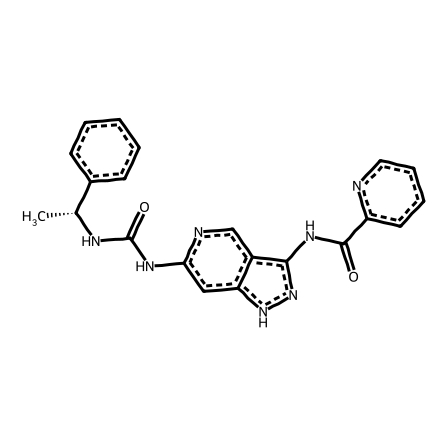 C[C@@H](NC(=O)Nc1cc2[nH]nc(NC(=O)c3ccccn3)c2cn1)c1ccccc1